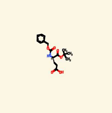 CC(C)(C)OC(=O)[C@H](CCC(=O)O)NC(=O)OCc1ccccc1